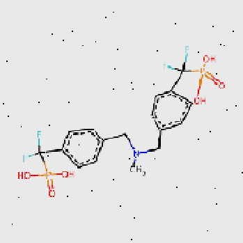 CN(Cc1ccc(C(F)(F)P(=O)(O)O)cc1)Cc1ccc(C(F)(F)P(=O)(O)O)cc1